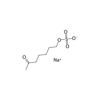 CC(=O)CCCCCOS(=O)(=O)[O-].[Na+]